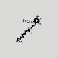 CCCCCCCCCCCCCCCCCC(=O)OCCSc1c(C(=O)OCC)cc(C(C)(C)C)c(O)c1C(C)(C)C